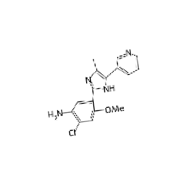 COc1cc(Cl)c(N)cc1-c1nc(C)c(-c2cccnc2)[nH]1